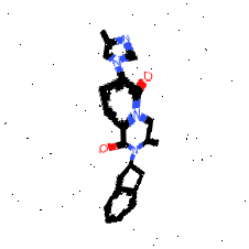 Cc1cn(-c2ccc3n(c2=O)CC(C)N(C2Cc4ccccc4C2)C3=O)cn1